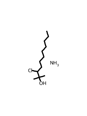 CCCCCCCCC(Cl)C(C)(C)O.N